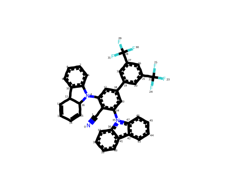 N#Cc1c(N2c3ccccc3C3C=CC=CC32)cc(-c2cc(C(F)(F)F)cc(C(F)(F)F)c2)cc1-n1c2ccccc2c2ccccc21